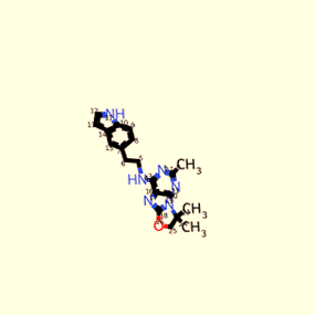 Cc1nc(NCCc2ccc3[nH]ccc3c2)c2nc3n(c2n1)C(C)(C)CO3